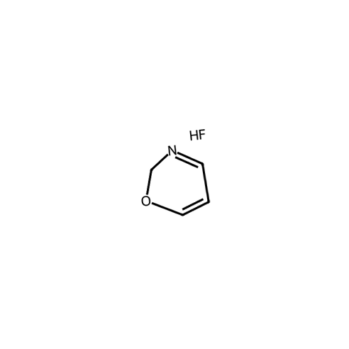 C1=COCN=C1.F